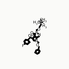 C[Si](C)(C)CCOCn1ncc2c(c(C(O)c3ccc(F)cc3)cn2COCc2ccccc2)c1=O